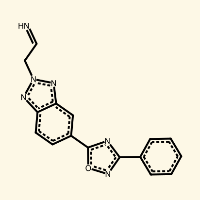 N=CCn1nc2ccc(-c3nc(-c4ccccc4)no3)cc2n1